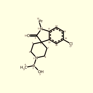 CB(O)N1CCC2(CC1)C(=O)N(C(C)C)c1ccc(Cl)cc12